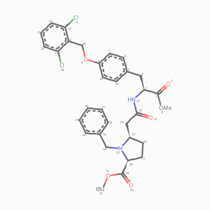 COC(=O)[C@H](Cc1ccc(OCc2c(Cl)cccc2Cl)cc1)NC(=O)C[C@H]1CC[C@@H](C(=O)OC(C)(C)C)N1Cc1ccccc1